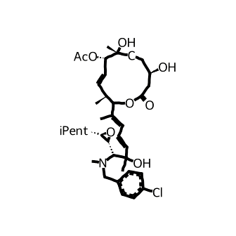 CCC[C@@H](C)[C@H]1O[C@@H]1C(N(C)Cc1ccc(Cl)cc1)C(C)(O)/C=C/C=C(\C)C1OC(=O)C[C@H](O)CC[C@@](C)(O)[C@@H](OC(C)=O)/C=C/[C@@H]1C